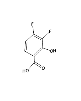 O=C(O)c1ccc(F)c(F)c1O